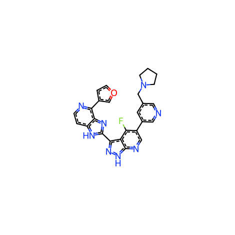 Fc1c(-c2cncc(CN3CCCC3)c2)cnc2[nH]nc(-c3nc4c(-c5ccoc5)nccc4[nH]3)c12